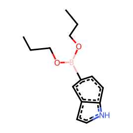 CCCOB(OCCC)c1ccc2[nH]ccc2c1